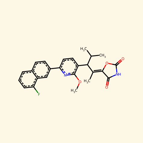 COc1nc(-c2ccc3cccc(F)c3c2)ccc1C(C(C)=C1OC(=O)NC1=O)C(C)C